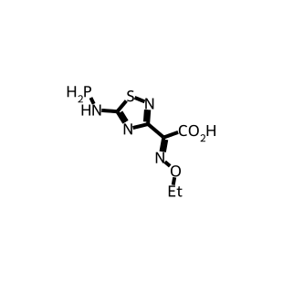 CCO/N=C(\C(=O)O)c1nsc(NP)n1